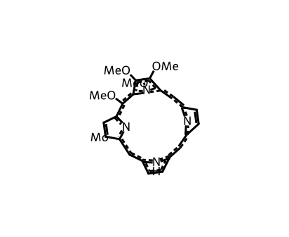 COc1c(OC)c2c(OC)c3nc(cc4ccc(cc5nc(cc1n2OC)C=C5)[nH]4)C=C3.[Mo]